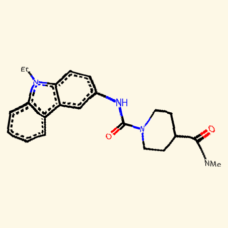 CCn1c2ccccc2c2cc(NC(=O)N3CCC(C(=O)NC)CC3)ccc21